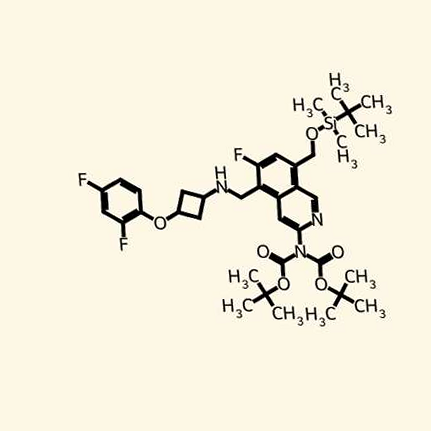 CC(C)(C)OC(=O)N(C(=O)OC(C)(C)C)c1cc2c(CNC3CC(Oc4ccc(F)cc4F)C3)c(F)cc(CO[Si](C)(C)C(C)(C)C)c2cn1